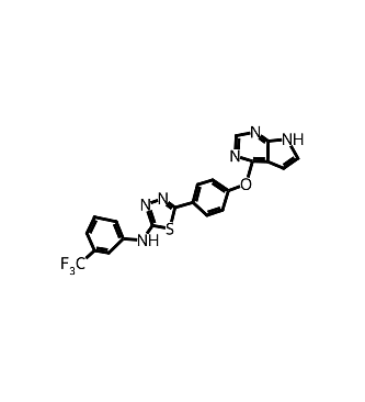 FC(F)(F)c1cccc(Nc2nnc(-c3ccc(Oc4ncnc5[nH]ccc45)cc3)s2)c1